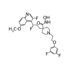 COc1ccc2ncc(F)c([C@H](F)CCC3(C(=O)NO)CCN(CCOc4cc(F)cc(F)c4)CC3)c2c1